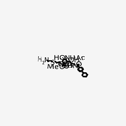 COC(=O)[C@@]1(OCCCSCCN)C[C@@H](O)[C@@H](NC(C)=O)C([C@H](O)[C@H](O)CNC(=O)c2ccc(C3CCCCC3)cc2)O1